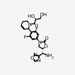 NC(c1ncon1)[C@@H]1CN(c2cc(F)c(C3C=CCCN3C(=O)[C@@H](O)CO)c(F)c2)C(=O)O1